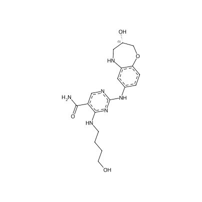 NC(=O)c1cnc(Nc2ccc3c(c2)NC[C@H](O)CO3)nc1NCCCCO